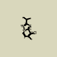 Cc1ccn2nc(C(C)C)nc2c1Cl